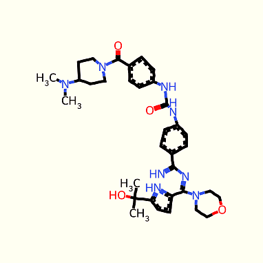 CN(C)C1CCN(C(=O)c2ccc(NC(=O)Nc3ccc(C(=N)/N=C(\c4ccc(C(C)(C)O)[nH]4)N4CCOCC4)cc3)cc2)CC1